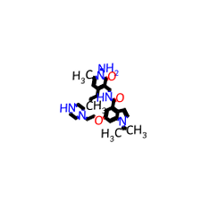 CCCc1cc(C)n(N)c(=O)c1CNC(=O)c1cc(OCCN2CCNCC2)cc2c1ccn2C(C)C